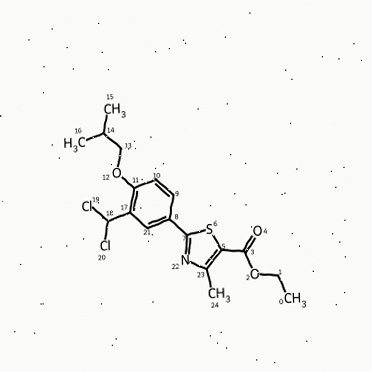 CCOC(=O)c1sc(-c2ccc(OCC(C)C)c(C(Cl)Cl)c2)nc1C